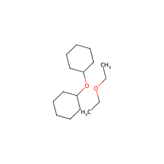 C1CCC(OC2CCCCC2)CC1.CCOCC